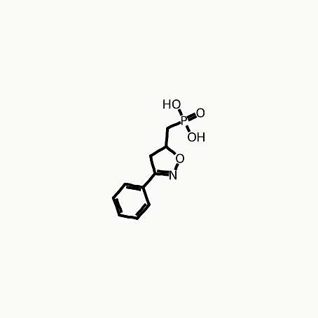 O=P(O)(O)CC1CC(c2ccccc2)=NO1